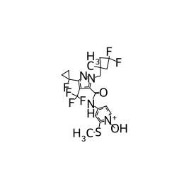 CSc1cc(NC(=O)c2c(C(F)(F)F)c(C3(F)CC3)nn2CC2(C)CC(F)(F)C2)cc[n+]1O